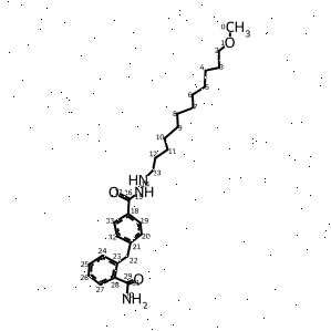 COCCCCCCCCCCCCNNC(=O)c1ccc(Cc2ccccc2C(N)=O)cc1